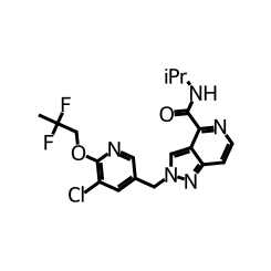 CC(C)NC(=O)c1nccc2nn(Cc3cnc(OCC(C)(F)F)c(Cl)c3)cc12